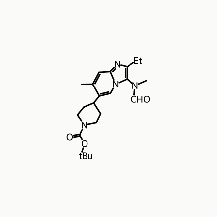 CCc1nc2cc(C)c(C3CCN(C(=O)OC(C)(C)C)CC3)cn2c1N(C)C=O